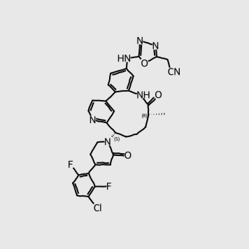 C[C@@H]1CCC[C@H](N2CCC(c3c(F)ccc(Cl)c3F)=CC2=O)c2cc(ccn2)-c2ccc(Nc3nnc(CC#N)o3)cc2NC1=O